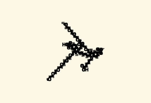 COCCOCCOCCOCCOCCOCCC1(C)C(/C=C/C=C/C=C2/N(CCCCCC(=O)O)c3ccc(S(=O)(=O)[O-])cc3C2(C)CCOCCOCCOCCOCCOCCOC)=[N+](CCOC)c2ccc(S(=O)(=O)O)cc21